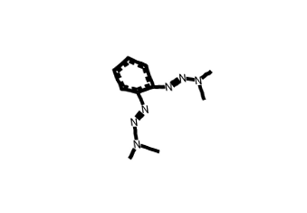 CN(C)N=Nc1ccccc1N=NN(C)C